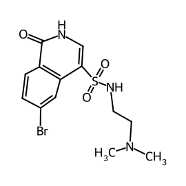 CN(C)CCNS(=O)(=O)c1c[nH]c(=O)c2ccc(Br)cc12